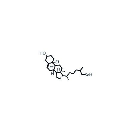 CC[C@]12CC[C@H](O)CC1=CC[C@@H]1[C@@H]2CC[C@]2(C)[C@@H]([C@H](C)CCCC(C)C[SeH])CC[C@@H]12